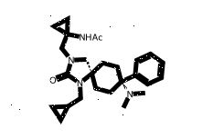 CC(=O)NC1(CN2C[C@]3(CC[C@@](c4ccccc4)(N(C)C)CC3)N(CC3CC3)C2=O)CC1